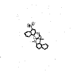 CN1c2ccc3ccccc3c2C(C)(C)C12C=Nc1cc([N+](=O)[O-])c3ccccc3c1O2